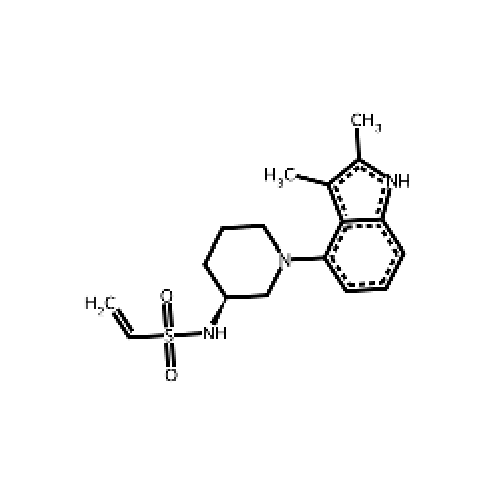 C=CS(=O)(=O)N[C@H]1CCCN(c2cccc3[nH]c(C)c(C)c23)C1